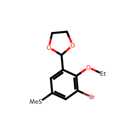 CCOc1c(Br)cc(SC)cc1C1OCCO1